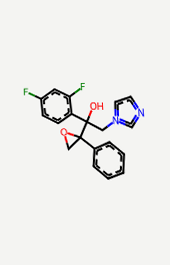 OC(Cn1ccnc1)(c1ccc(F)cc1F)C1(c2ccccc2)CO1